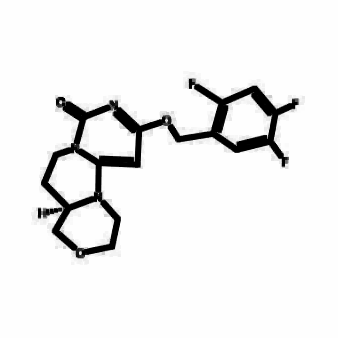 O=c1nc(OCc2cc(F)c(F)cc2F)cc2n1CC[C@@H]1COCCN21